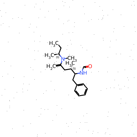 C=C(C[C@H](C)C(Cc1ccccc1)NC=O)N(C)[C@@H](C)CC